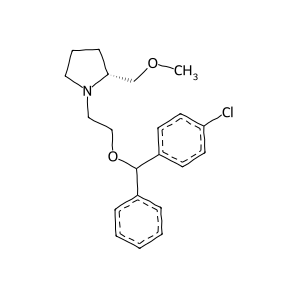 COC[C@H]1CCCN1CCOC(c1ccccc1)c1ccc(Cl)cc1